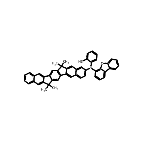 CC1(C)c2cc3c(cc2-c2cc4ccccc4cc21)C(C)(C)c1cc2cc(N(c4ccccc4S)c4cccc5c4oc4ccccc45)ccc2cc1-3